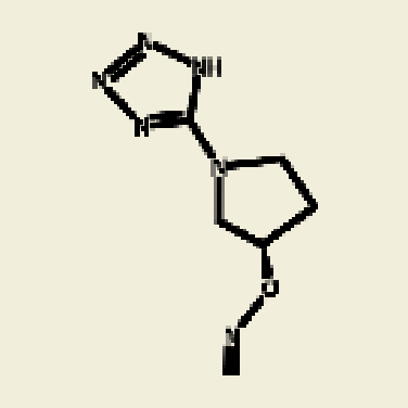 C=NO[C@@H]1CCN(c2nnn[nH]2)C1